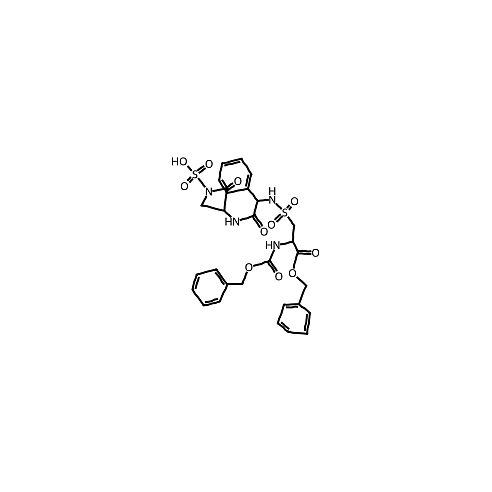 O=C(NC(CS(=O)(=O)NC(C(=O)NC1CN(S(=O)(=O)O)C1=O)c1ccccc1)C(=O)OCc1ccccc1)OCc1ccccc1